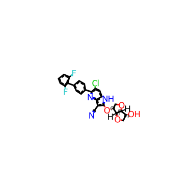 N#Cc1c(O[C@@H]2CO[C@H]3[C@@H]2OC[C@H]3O)[nH]c2cc(Cl)c(-c3ccc(-c4c(F)cccc4F)cc3)nc12